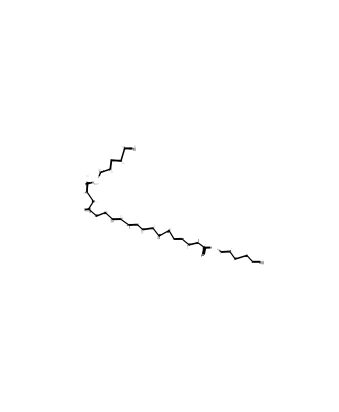 CC(C)CCCCCOC(=O)CCCCCCCCCCCCCCC(C)CCC(=O)OCCCCCC(C)C